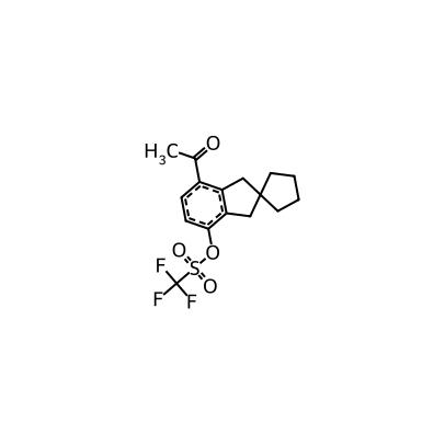 CC(=O)c1ccc(OS(=O)(=O)C(F)(F)F)c2c1CC1(CCCC1)C2